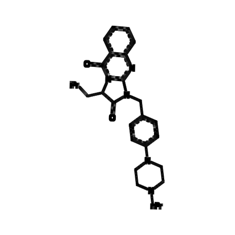 CCCN1CCN(c2ccc(CN3C(=O)C(CC(C)C)n4c3nc3ccccc3c4=O)cc2)CC1